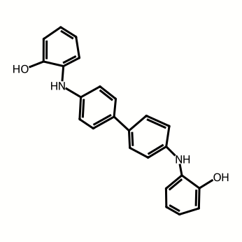 Oc1ccccc1Nc1ccc(-c2ccc(Nc3ccccc3O)cc2)cc1